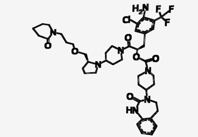 Nc1c(Cl)cc(C[C@@H](OC(=O)N2CCC(N3CCc4ccccc4NC3=O)CC2)C(=O)N2CCC(N3CCC[C@H]3COCCCN3CCCCC3=O)CC2)cc1C(F)(F)F